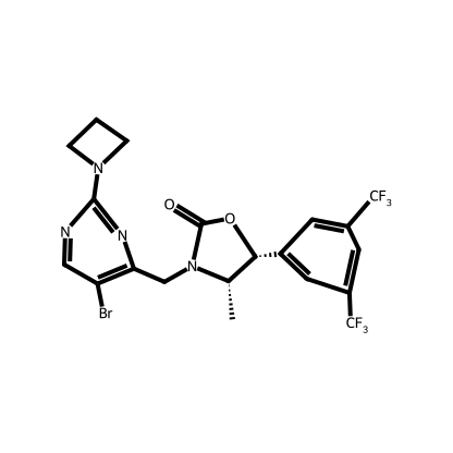 C[C@H]1[C@@H](c2cc(C(F)(F)F)cc(C(F)(F)F)c2)OC(=O)N1Cc1nc(N2CCC2)ncc1Br